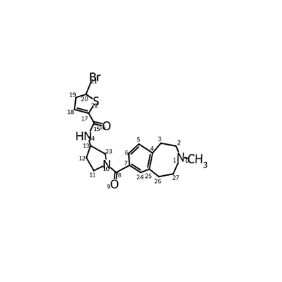 CN1CCc2ccc(C(=O)N3CCC(NC(=O)C4=CCC(Br)S4)C3)cc2CC1